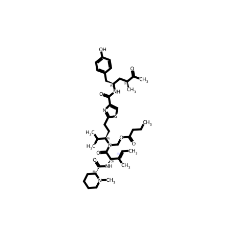 C/C=C(\C)[C@H](NC(=O)[C@H]1CCCCN1C)C(=O)N(COC(=O)CCC)[C@H](CCc1nc(C(=O)N[C@@H](Cc2ccc(O)cc2)C[C@H](C)C(C)=O)cs1)C(C)C